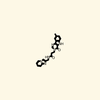 Cc1ccc2[nH]c3c(=O)n(CCC(=O)NCc4cn5ccccc5n4)cnc3c2c1